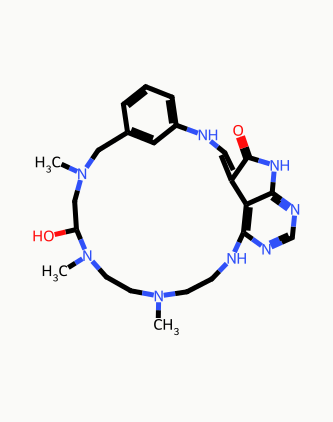 CN1CCNc2ncnc3c2/C(=C/Nc2cccc(c2)CN(C)CC(O)N(C)CC1)C(=O)N3